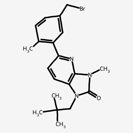 Cc1ccc(CBr)cc1-c1ccc2c(n1)n(C)c(=O)n2CC(C)(C)C